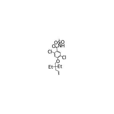 C=CCC(CC)(CC)COc1cc(Cl)c(C(=O)NS(C)(=O)=O)cc1Cl